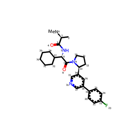 CN[C@@H](C)C(=O)N[C@H](C(=O)N1CCC[C@H]1c1cncc(-c2ccc(F)cc2)c1)C1CCCCC1